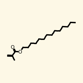 C=C(C)C(=O)OCCCCCCCCCCCCCC